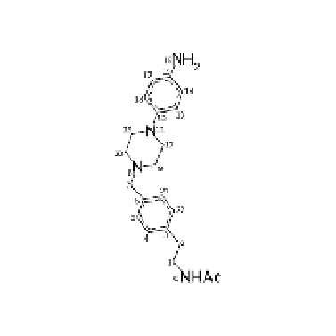 CC(=O)NCCc1ccc(CN2CCN(c3ccc(N)cc3)CC2)cc1